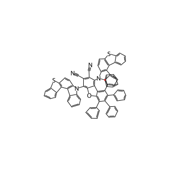 N#Cc1c(C#N)c(-n2c3ccccc3c3c4c(ccc32)sc2ccccc24)c2c(oc3c(-c4ccccc4)c(-c4ccccc4)c(-c4ccccc4)c(-c4ccccc4)c32)c1-n1c2ccccc2c2c3c(ccc21)sc1ccccc13